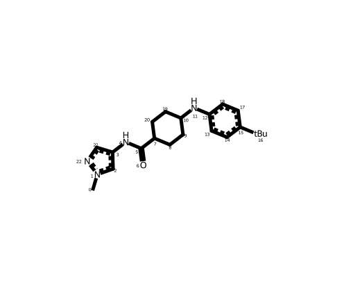 Cn1cc(NC(=O)C2CCC(Nc3ccc(C(C)(C)C)cc3)CC2)cn1